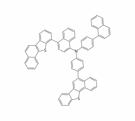 c1ccc2c(-c3ccc(N(c4ccc(-c5cc6c7ccccc7sc6c6ccccc56)cc4)c4ccc(-c5cccc6c5sc5c7ccccc7ccc65)c5ccccc45)cc3)cccc2c1